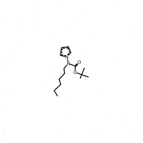 CCCCCCN(C(=O)OC(C)(C)C)n1cccc1